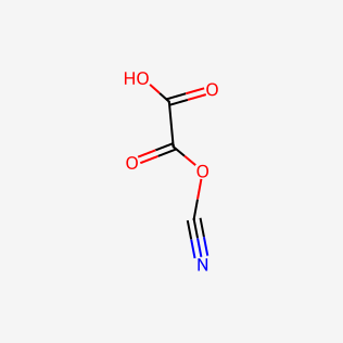 N#COC(=O)C(=O)O